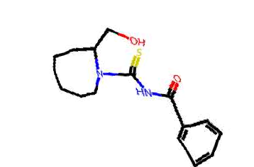 O=C(NC(=S)N1CCCCCC1CO)c1ccccc1